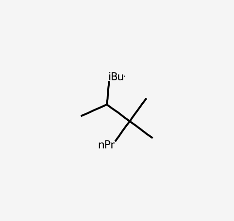 CCCC(C)(C)C(C)[C](C)CC